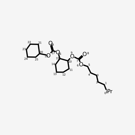 CC(C)CCCCCOC(=O)OC1CCCCC1OC(=O)OC1CCCCC1